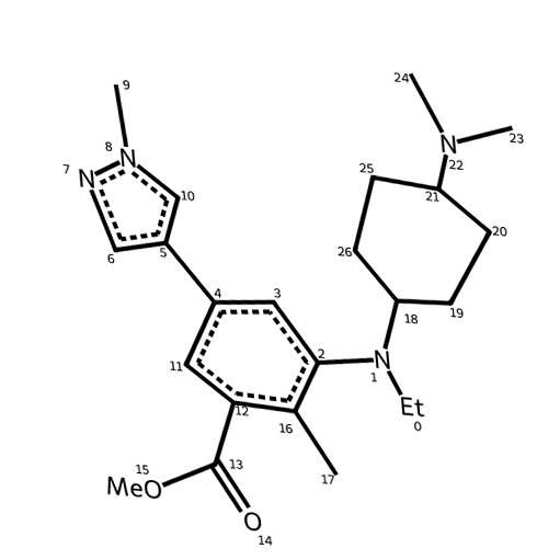 CCN(c1cc(-c2cnn(C)c2)cc(C(=O)OC)c1C)C1CCC(N(C)C)CC1